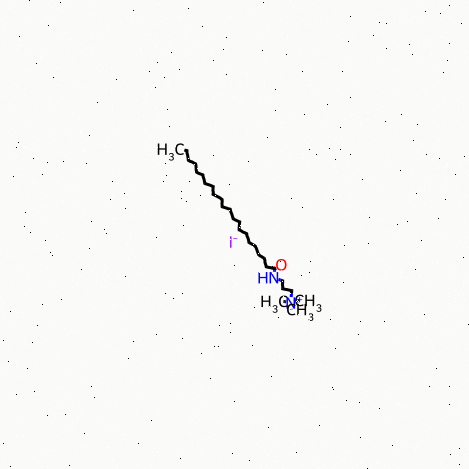 CCCCCCCCCCCCCCCCCCCCCC(=O)NCCC[N+](C)(C)C.[I-]